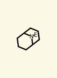 [CH2]CN1C2CCCC1CCC2